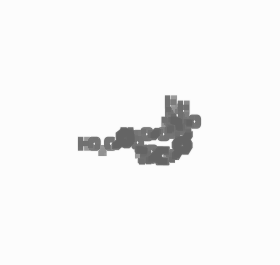 COCCOc1nc(N)c2[nH]c(=O)n(Cc3ccc(CN4CCC(O)(CN(C)CCOc5cccc(CC(=O)O)c5)CC4)cc3)c2n1